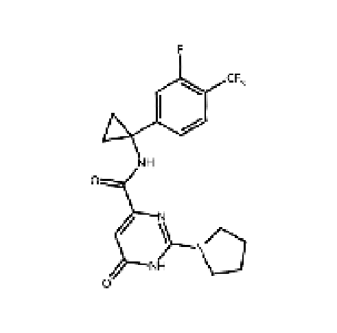 O=C(NC1(c2ccc(C(F)(F)F)c(F)c2)CC1)c1cc(=O)[nH]c(N2CCCC2)n1